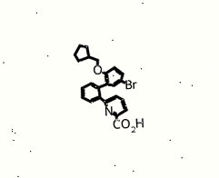 O=C(O)c1cccc(-c2ccccc2-c2cc(Br)ccc2OCC2CCCC2)n1